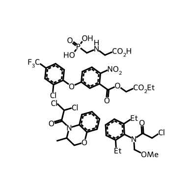 CC1COc2ccccc2N1C(=O)C(Cl)Cl.CCOC(=O)COC(=O)c1cc(Oc2ccc(C(F)(F)F)cc2Cl)ccc1[N+](=O)[O-].CCc1cccc(CC)c1N(COC)C(=O)CCl.O=C(O)CNCP(=O)(O)O